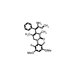 C=N/C(N)=C(\C1=C(C)CN(c2c(F)c(OC)cc(OC)c2F)C(=O)N1C)c1ccccc1